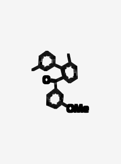 COc1cccc(C(=O)c2cccc(C)c2-c2cccc(C)c2)c1